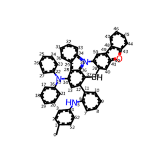 Cc1ccc(Nc2ccccc2-c2cc(N(c3ccccc3)c3ccccc3)c3c4ccccc4n4c3c2Bc2cc3oc5ccccc5c3cc2-4)cc1